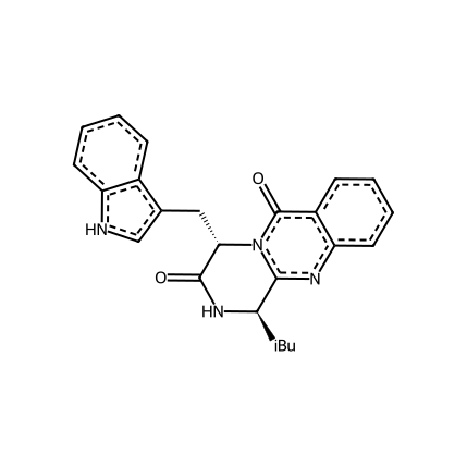 CCC(C)[C@H]1NC(=O)[C@H](Cc2c[nH]c3ccccc23)n2c1nc1ccccc1c2=O